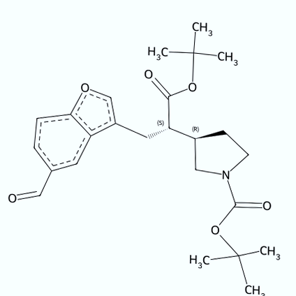 CC(C)(C)OC(=O)[C@@H](Cc1coc2ccc(C=O)cc12)[C@H]1CCN(C(=O)OC(C)(C)C)C1